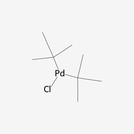 C[C](C)(C)[Pd]([Cl])[C](C)(C)C